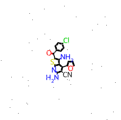 N#Cc1c(N)nc2sc(C(=O)c3ccc(Cl)cc3)c(N)c2c1-c1ccco1